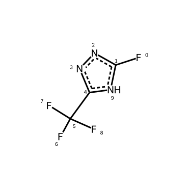 Fc1nnc(C(F)(F)F)[nH]1